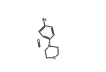 C=O.CC(=O)c1ccc(N2CCOCC2)cc1